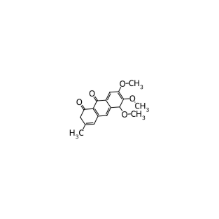 COC1=C(OC)C(OC)C2=CC3=C(C(=O)CC(C)=C3)C(=O)C2=C1